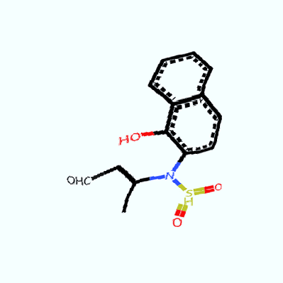 CC(CC=O)N(c1ccc2ccccc2c1O)[SH](=O)=O